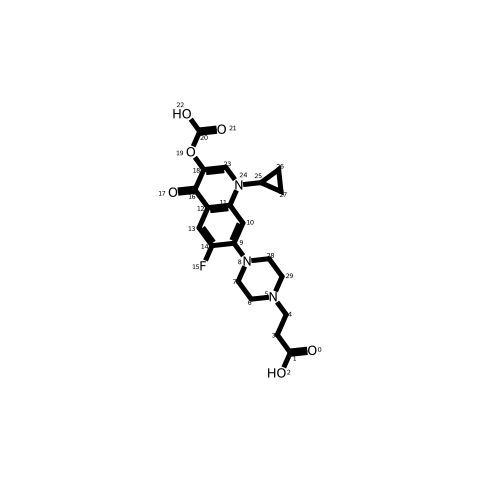 O=C(O)CCN1CCN(c2cc3c(cc2F)c(=O)c(OC(=O)O)cn3C2CC2)CC1